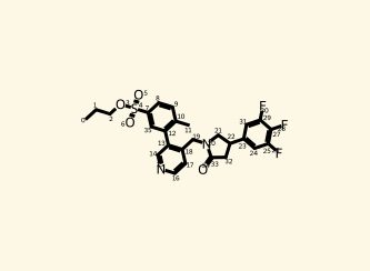 CCCOS(=O)(=O)c1ccc(C)c(-c2cnccc2CN2CC(c3cc(F)c(F)c(F)c3)CC2=O)c1